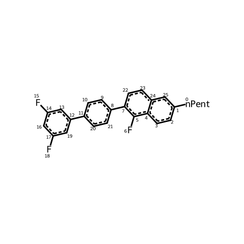 CCCCCc1ccc2c(F)c(-c3ccc(-c4cc(F)cc(F)c4)cc3)ccc2c1